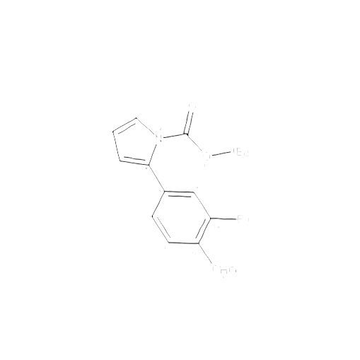 CC(C)(C)OC(=O)n1cccc1-c1ccc(C=O)c(F)c1